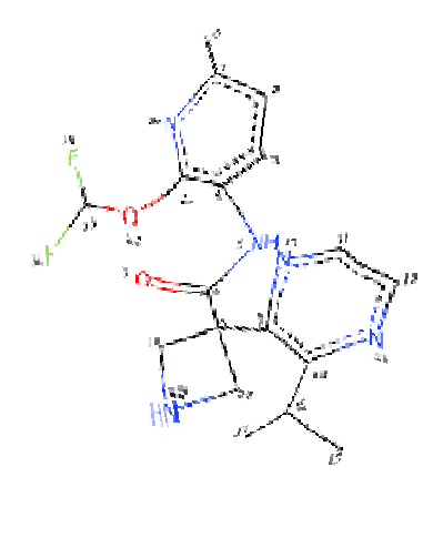 Cc1ccc(NC(=O)C2(c3nccnc3C(C)C)CNC2)c(OC(F)F)n1